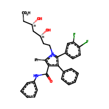 CC(C)c1c(C(=O)Nc2ccccc2)c(-c2ccccc2)c(-c2ccc(F)c(F)c2)n1CC[C@@H](O)C[C@@H](O)CC(=O)O